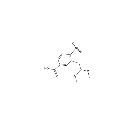 COC(Cc1cc(C(=O)O)ccc1[N+](=O)[O-])OC